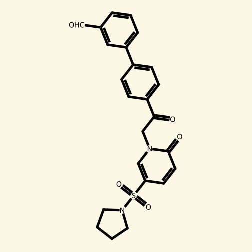 O=Cc1cccc(-c2ccc(C(=O)Cn3cc(S(=O)(=O)N4CCCC4)ccc3=O)cc2)c1